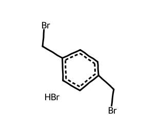 Br.BrCc1ccc(CBr)cc1